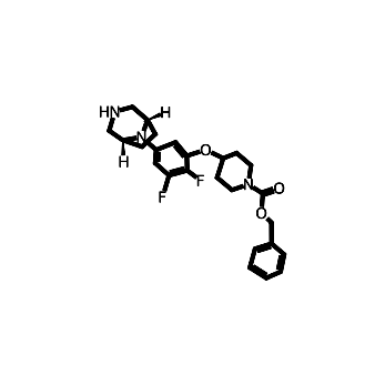 O=C(OCc1ccccc1)N1CCC(Oc2cc(N3[C@@H]4CC[C@H]3CNC4)cc(F)c2F)CC1